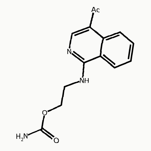 CC(=O)c1cnc(NCCOC(N)=O)c2ccccc12